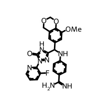 COc1cc(C(Nc2ccc(C(=N)N)cc2)c2nn(-c3ncccc3F)c(=O)[nH]2)cc2c1OCOC2